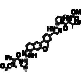 COC(=O)N[C@H](C(=O)N1[C@@H](C)CC[C@H]1c1ncc(-c2ccc3c(c2)COc2cc4c(ccc5nc([C@@H]6C[C@H](C)CN6C(=O)[C@H](C(C)C)N(C)C(=O)O)[nH]c54)cc2-3)[nH]1)C(C)OC